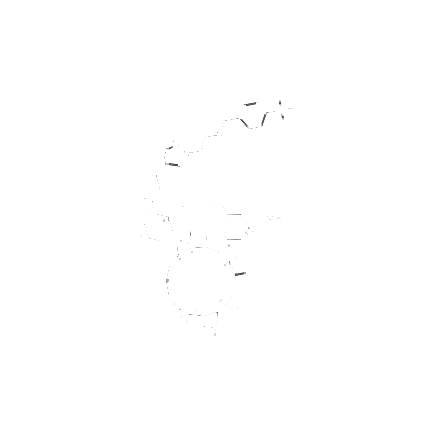 CC[C@H]1OC(=O)[C@H](C)C([C@H]2C[C@@](C)(OC)[C@@H](O)[C@H](C)O2)[C@H](C)[C@@H](O[C@@H]2O[C@H](C)C[C@H](N(C)CCc3cn(CCNCc4ccc(S(C)(=O)=O)cc4)nn3)[C@H]2O)[C@](C)(O)C[C@@H](C)CN(C)[C@H](C)[C@@H](O)[C@]1(C)O